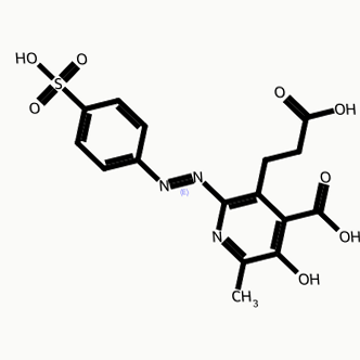 Cc1nc(/N=N/c2ccc(S(=O)(=O)O)cc2)c(CCC(=O)O)c(C(=O)O)c1O